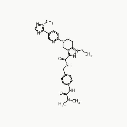 CCn1nc(C(=O)NCc2ccc(NC(=O)N(C)C)cc2)c2c1CCN(c1ccc(-c3ncnn3C)cn1)C2